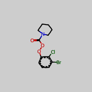 O=C(OOc1cccc(Br)c1Cl)N1CCCCC1